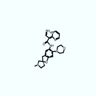 CN1CC[C@]2(Cc3cc(NC(=O)/C(C=N)=C4\N=CC=CN4)c(N4CCOCC4)cc3O2)C1